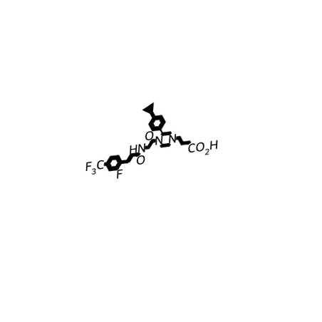 O=C(O)CCCN1CCN(C(=O)CNC(=O)/C=C/c2ccc(C(F)(F)F)cc2F)[C@@H](c2ccc(C3CC3)cc2)C1